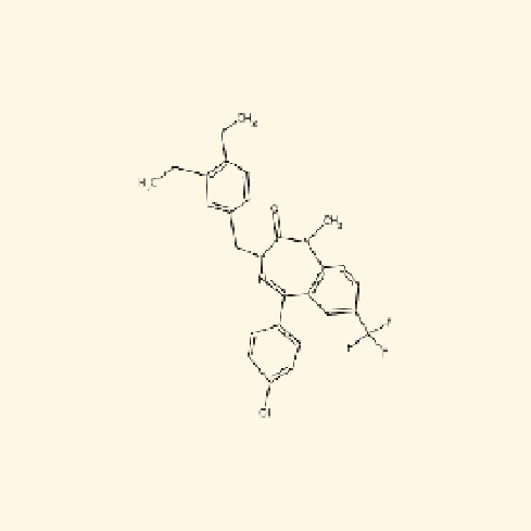 CCc1ccc(CC2N=C(c3ccc(O)cc3)c3cc(C(F)(F)F)ccc3N(C)C2=O)cc1CC